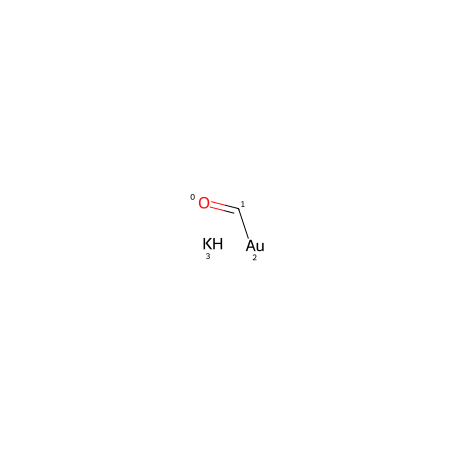 O=[CH][Au].[KH]